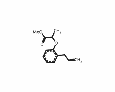 C=CCc1ccccc1OC(C)C(=O)OC